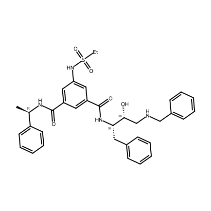 CCS(=O)(=O)Nc1cc(C(=O)N[C@@H](Cc2ccccc2)[C@H](O)CNCc2ccccc2)cc(C(=O)N[C@H](C)c2ccccc2)c1